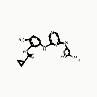 Cc1cc(Nc2cncc(Nc3ccc(C)c(NC(=O)C4CC4)c3)n2)n[nH]1